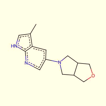 Cc1c[nH]c2ncc(N3CC4COCC4C3)cc12